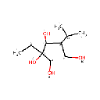 CCC(O)(CO)C(O)C(CO)C(C)C